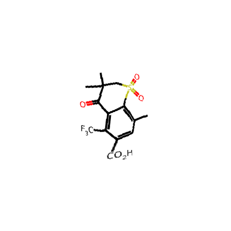 Cc1cc(C(=O)O)c(C(F)(F)F)c2c1S(=O)(=O)CC(C)(C)C2=O